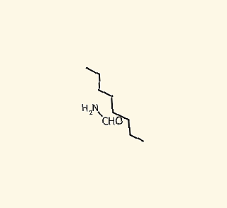 CCCCCCCC.NC=O